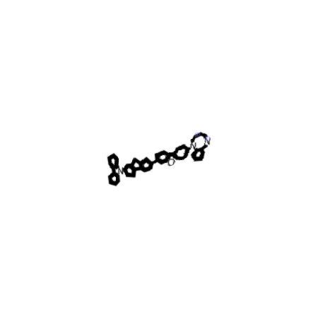 C1=Cc2c(oc3cc(-c4ccc5c(c4)Cc4cc(-n6c7ccccc7c7ccccc76)ccc4-5)ccc23)CC=C1N1C/C=C\C=N/Cc2ccccc21